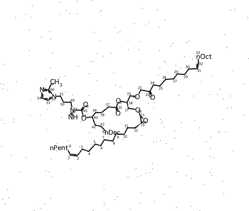 CCCCC/C=C\CCCCCCCCCC[C@@H]1OC1OCC(COCC(=O)CCCCCCC/C=C\CCCCCCCC)OC(=O)CCCC(CCCCCCCCCCCC)OC(=O)[N+](=N)CCCn1ccnc1C